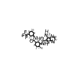 Cc1ccc(C(=O)Nc2cccc(C(F)(F)F)c2)cc1NC(=O)c1sc2nccnc2c1N